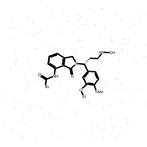 CCOc1cc([C@@H](CCNO)N2Cc3cccc(NC(=O)C(C)C)c3C2=O)ccc1OC